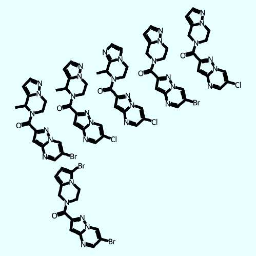 CC1c2ccnn2CCN1C(=O)c1cc2ncc(Br)cn2n1.CC1c2ccnn2CCN1C(=O)c1cc2ncc(Cl)cn2n1.CC1c2nccn2CCN1C(=O)c1cc2ncc(Cl)cn2n1.O=C(c1cc2ncc(Br)cn2n1)N1CCn2c(Br)ccc2C1.O=C(c1cc2ncc(Br)cn2n1)N1CCn2nccc2C1.O=C(c1cc2ncc(Cl)cn2n1)N1CCn2nccc2C1